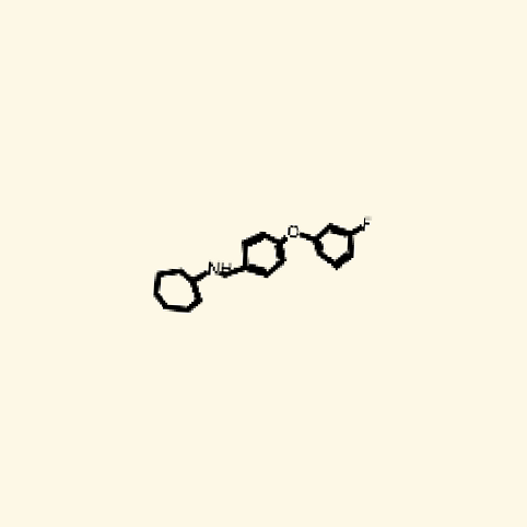 Fc1cccc(Oc2ccc(CNC3CCCCCC3)cc2)c1